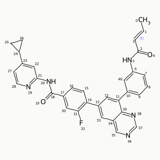 C/C=C/C(=O)Nc1cccc(-c2cc(-c3ccc(C(=O)Nc4cc(C5CC5)ccn4)cc3F)cc3cncnc23)c1